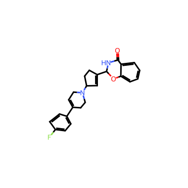 O=C1NC(C2=CC(N3CC=C(c4ccc(F)cc4)CC3)CC2)Oc2ccccc21